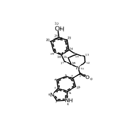 O=C(c1ccc2nc[nH]c2c1)N1CCC2CC1Cc1ccc(O)cc12